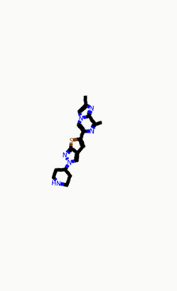 Cc1cn2cc(-c3cc4cn(C5CCNCC5)nc4s3)nc(C)c2n1